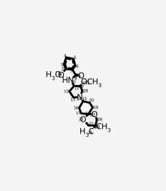 COc1ccccc1C(=O)NC1CCN(C2CCC3(CC2)OCC(C)(C)CO3)CC1OC